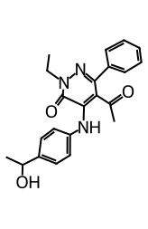 CCn1nc(-c2ccccc2)c(C(C)=O)c(Nc2ccc(C(C)O)cc2)c1=O